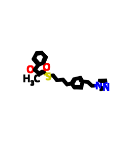 Cc1c(SCCCCc2ccc(CCn3ccnc3)cc2)oc2ccccc2c1=O